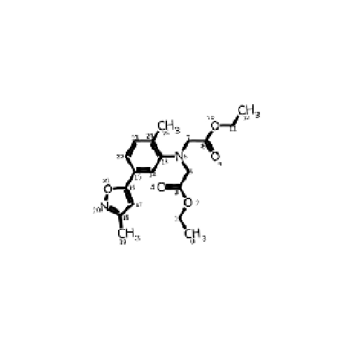 CCOC(=O)CN(CC(=O)OCC)c1cc(-c2cc(C)no2)ccc1C